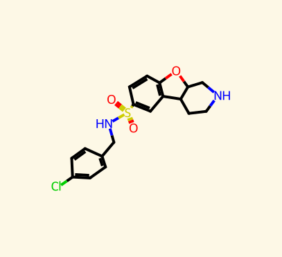 O=S(=O)(NCc1ccc(Cl)cc1)c1ccc2c(c1)C1CCNCC1O2